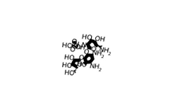 NC[C@H]1O[C@H](O[C@H]2[C@H](O[C@@H]3O[C@H](CO)[C@@H](O)[C@H]3O)C(O)[C@H](N)C[C@@H]2N)[C@H](N)[C@@H](O)[C@@H]1O.O=S(=O)(O)O